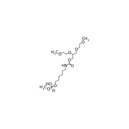 COCCOCC(COC(=O)NCCCCCCOP(=O)(O)OC)OCCOC